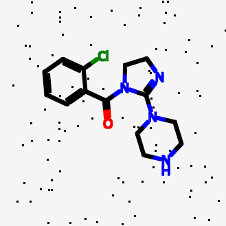 O=C(c1ccccc1Cl)N1CCN=C1N1CCNCC1